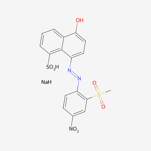 CS(=O)(=O)c1cc([N+](=O)[O-])ccc1N=Nc1ccc(O)c2cccc(S(=O)(=O)O)c12.[NaH]